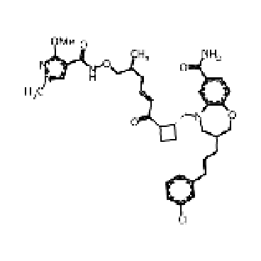 COc1nn(C)cc1C(=O)NOC[C@@H](C)C/C=C/C(=O)[C@@H]1CC[C@H]1CN1CC(CCCc2cccc(Cl)c2)COc2ccc(C(N)=O)cc21